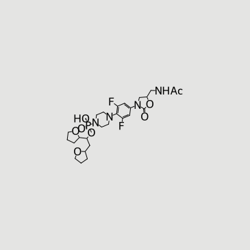 CC(=O)NCC1CN(c2cc(F)c(N3CCN([P@](=O)(O)OC(CC4CCCO4)C4CCCO4)CC3)c(F)c2)C(=O)O1